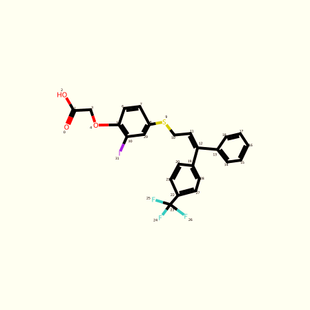 O=C(O)COc1ccc(SCC=C(c2ccccc2)c2ccc(C(F)(F)F)cc2)cc1I